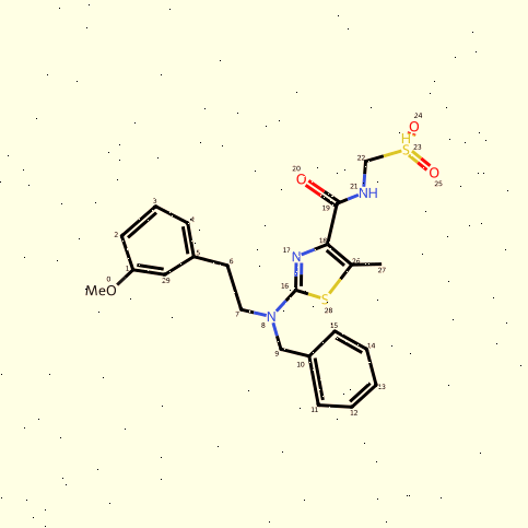 COc1cccc(CCN(Cc2ccccc2)c2nc(C(=O)NC[SH](=O)=O)c(C)s2)c1